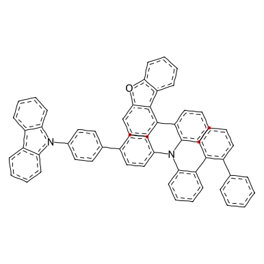 c1ccc(-c2ccccc2-c2ccccc2N(c2ccc(-c3ccc(-n4c5ccccc5c5ccccc54)cc3)cc2)c2ccccc2-c2cccc3oc4ccccc4c23)cc1